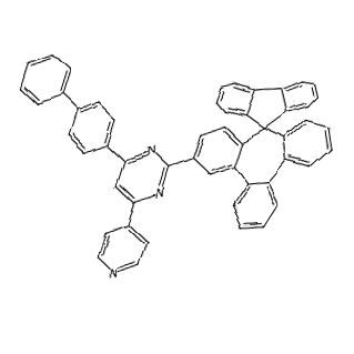 c1ccc(-c2ccc(-c3cc(-c4ccncc4)nc(-c4ccc5c(c4)-c4ccccc4-c4ccccc4C54c5ccccc5-c5ccccc54)n3)cc2)cc1